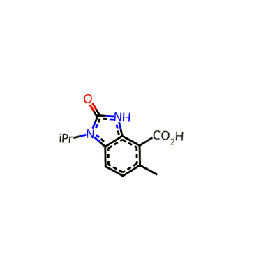 Cc1ccc2c([nH]c(=O)n2C(C)C)c1C(=O)O